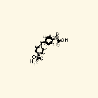 CS(=O)(=O)N1CCN(Cc2ccc(N(F)C(=O)O)cc2)CC1